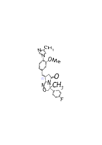 COc1cc(/C=C2\CC(=O)N3C2=NOCC3(C)c2ccc(F)cc2)ccc1-n1cnc(C)c1